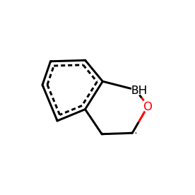 B1O[CH]Cc2ccccc21